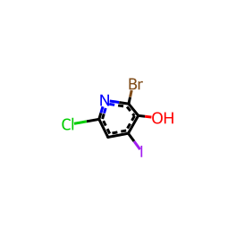 Oc1c(I)cc(Cl)nc1Br